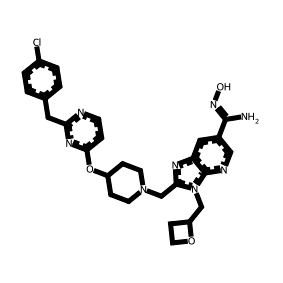 NC(=NO)c1cnc2c(c1)nc(CN1CCC(Oc3ccnc(Cc4ccc(Cl)cc4)n3)CC1)n2CC1CCO1